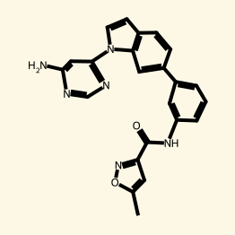 Cc1cc(C(=O)Nc2cccc(-c3ccc4ccn(-c5cc(N)ncn5)c4c3)c2)no1